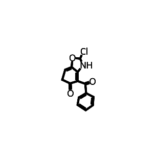 O=C1CC=C2OC(Cl)NC2=C1C(=O)c1ccccc1